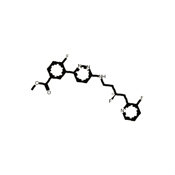 COC(=O)c1ccc(F)c(-c2ccc(NCC[C@H](F)Cc3ncccc3F)nn2)c1